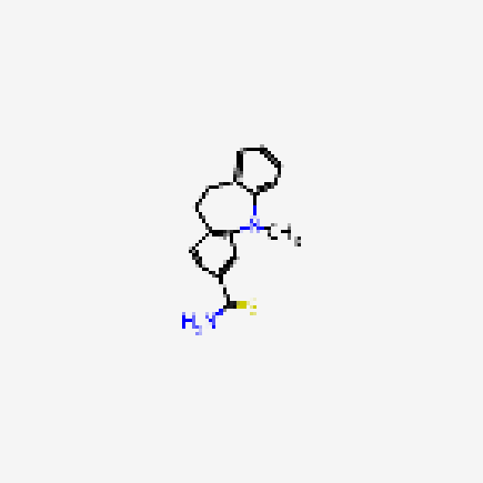 CN1c2ccccc2CCc2ccc(C(N)=S)cc21